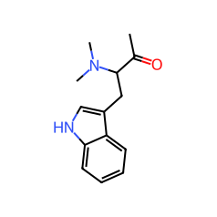 CC(=O)C(Cc1c[nH]c2ccccc12)N(C)C